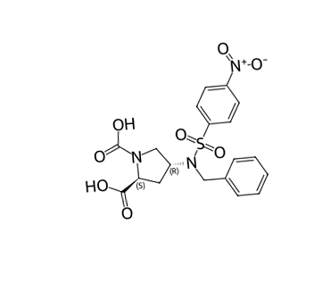 O=C(O)[C@@H]1C[C@@H](N(Cc2ccccc2)S(=O)(=O)c2ccc([N+](=O)[O-])cc2)CN1C(=O)O